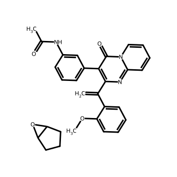 C1CC2OC2C1.C=C(c1ccccc1OC)c1nc2ccccn2c(=O)c1-c1cccc(NC(C)=O)c1